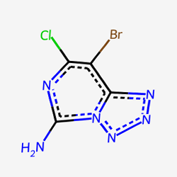 Nc1nc(Cl)c(Br)c2nnnn12